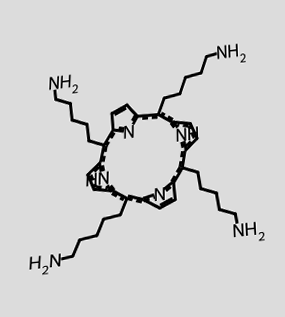 NCCCCCc1c2nc(c(CCCCCN)c3ccc([nH]3)c(CCCCCN)c3nc(c(CCCCCN)c4ccc1[nH]4)C=C3)C=C2